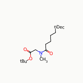 CCCCCCCCCCCCCCC(=O)N(C)CC(=O)OC(C)(C)C